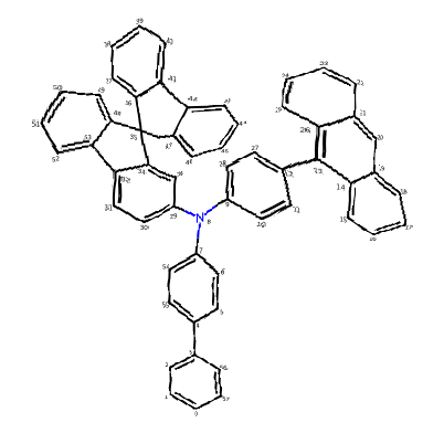 c1ccc(-c2ccc(N(c3ccc(-c4c5ccccc5cc5ccccc45)cc3)c3ccc4c(c3)C3(c5ccccc5-c5ccccc53)c3ccccc3-4)cc2)cc1